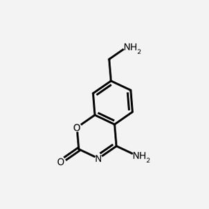 NCc1ccc2c(N)nc(=O)oc2c1